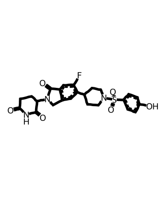 O=C1CCC(N2Cc3cc(C4CCN(S(=O)(=O)c5ccc(O)cc5)CC4)c(F)cc3C2=O)C(=O)N1